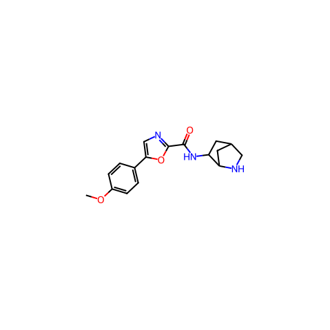 COc1ccc(-c2cnc(C(=O)NC3CC4CNC3C4)o2)cc1